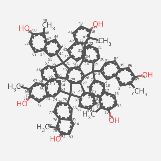 Cc1cc2cc(C3(c4ccc5c(C)c(O)ccc5c4)c4ccccc4-c4c3c3c(c5c4C(c4ccc6c(C)c(O)ccc6c4)(c4ccc6c(C)c(O)ccc6c4)c4ccccc4-5)C(c4ccc5cc(C)c(O)cc5c4)(c4ccc5c(C)c(O)ccc5c4)c4ccccc4-3)ccc2cc1O